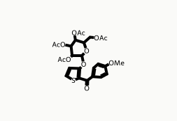 COc1ccc(C(=O)c2sccc2OC2OC(COC(C)=O)C(OC(C)=O)C(OC(C)=O)C2OC(C)=O)cc1